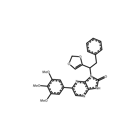 COc1cc(-c2cnc3[nH]c(=O)n(C(Cc4ccccc4)C4=COCO4)c3n2)cc(OC)c1OC